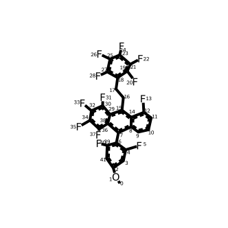 COc1cc(F)c(-c2c3cccc(F)c3c(CCc3c(F)c(F)c(F)c(F)c3F)c3c(F)c(F)c(F)c(F)c23)c(F)c1